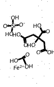 O=C(O)CC(O)(CC(=O)O)C(=O)O.O=C(O)O.[Fe+2].[O-][Si]([O-])(O)O